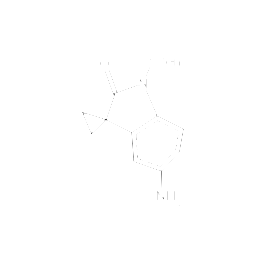 CCCCCN1C(=O)C2(CC2)c2cc(N)ccc21